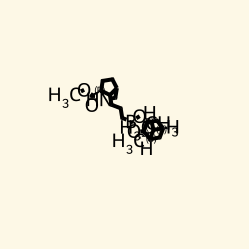 COC(=O)[C@]12CCC(CN1)C2CCCB1O[C@@H]2C[C@@H]3C[C@@H](C3(C)C)[C@]2(C)O1